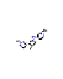 C=CN/C=C(\C=C/C)c1cc(Nc2ccnc(C(C)(C)C)c2)ccc1C